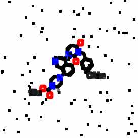 COc1ccc(CN2C(=O)CCN(c3cncc4c(N5CCN(C(=O)OC(C)(C)C)[C@@H](C)C5)cccc34)C2=O)cc1